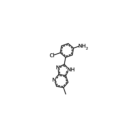 Cc1cnc2nc(-c3cc(N)ccc3Cl)[nH]c2c1